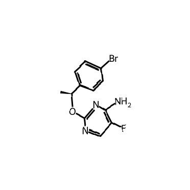 C[C@H](Oc1ncc(F)c(N)n1)c1ccc(Br)cc1